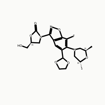 C[C@@H]1CN(c2c(C3OCCO3)cc3c(N4C[C@@H](CO)OC4=O)noc3c2F)C[C@@H](C)O1